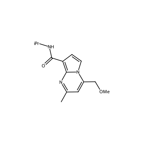 COCc1cc(C)nc2c(C(=O)NC(C)C)ccn12